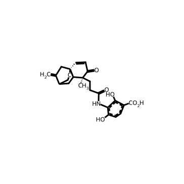 C=C1C[C@@]23C=CC(=O)[C@@](C)(CCC(=O)Nc4c(O)ccc(C(=O)O)c4O)C2CC1CC3